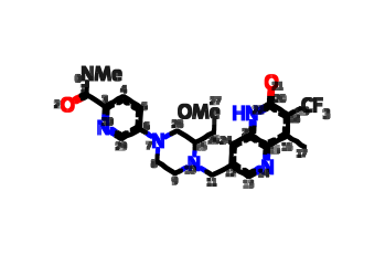 CNC(=O)c1ccc(N2CCN(Cc3cnc4c(C)c(C(F)(F)F)c(=O)[nH]c4c3)C(COC)C2)cn1